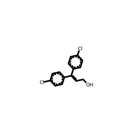 OCC=C(c1ccc(Cl)cc1)c1ccc(Cl)cc1